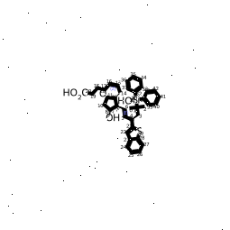 CC(C)(C[C@H](/C=C/[C@H]1[C@H](O)CC(=O)[C@@H]1C/C=C\CCCC(=O)O)c1cc2ccccc2s1)[Si](O)(c1ccccc1)c1ccccc1